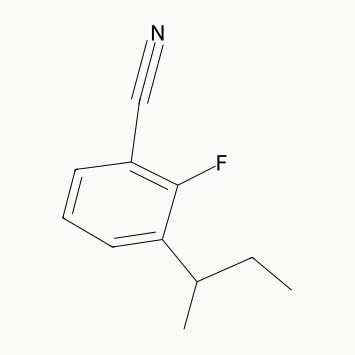 CCC(C)c1cccc(C#N)c1F